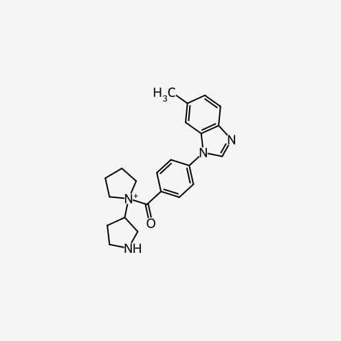 Cc1ccc2ncn(-c3ccc(C(=O)[N+]4(C5CCNC5)CCCC4)cc3)c2c1